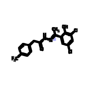 C/C(=N\NC(=O)Cc1ccc(C(F)(F)F)cc1)c1cc(Cl)cc(Cl)c1O